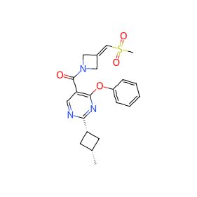 CS(=O)(=O)C=C1CN(C(=O)c2cnc([C@H]3C[C@@H](C)C3)nc2Oc2ccccc2)C1